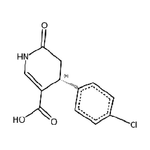 O=C1C[C@H](c2ccc(Cl)cc2)C(C(=O)O)=CN1